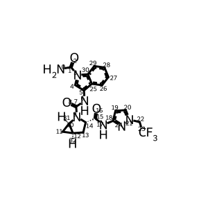 NC(=O)n1cc(NC(=O)N2[C@@H]3C[C@@H]3C[C@H]2C(=O)Nc2ccn(CC(F)(F)F)n2)c2ccccc21